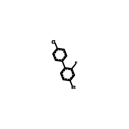 CCc1ccc(-c2ccc(Cl)cc2)c(F)c1